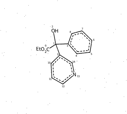 CCOC(=O)C(O)(c1ccccc1)c1cccnc1